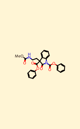 COC(=O)NCCC1(C(=O)Oc2ccccc2)C(=O)N(C(=O)Oc2ccccc2)c2ccccc21